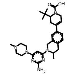 CC1Cc2ccc(C3=CCN(C(=O)O)C(C(C)(C)C)C3)cc2CN1c1cc(N2CCN(C)CC2)nc(N)n1